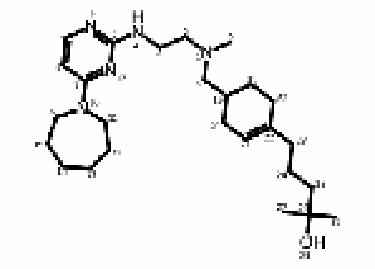 CN(CCNc1nccc(N2CCCCCC2)n1)CC1CC=C(CCCC(C)(C)O)CC1